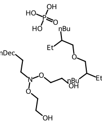 CCCCC(CC)COCC(CC)CCCC.CCCCCCCCCCCCN(OCCO)OCCO.O=P(O)(O)O